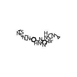 Brc1cnc2[nH]c(-c3ccc(N4CCN(Cc5nccs5)CC4)cc3)nc2c1NC1CCN(CC2CC2)CC1